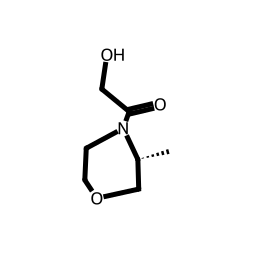 C[C@@H]1COCCN1C(=O)CO